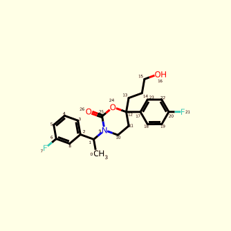 CC(c1cccc(F)c1)N1CCC(CCCO)(c2ccc(F)cc2)OC1=O